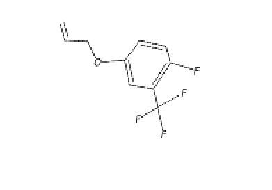 C=CCOc1ccc(F)c(C(F)(F)F)c1